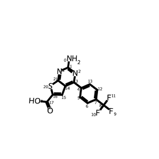 Nc1nc(-c2ccc(C(F)(F)F)cc2)c2cc(C(=O)O)sc2n1